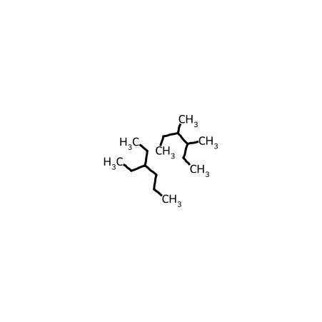 CCC(C)C(C)CC.CCCC(CC)CC